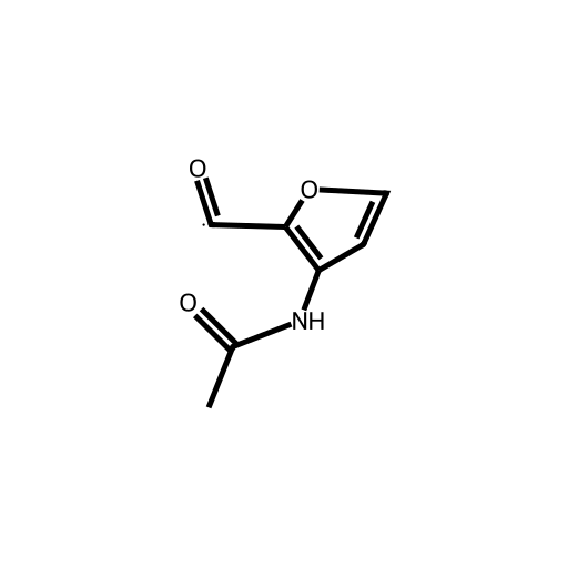 CC(=O)Nc1ccoc1[C]=O